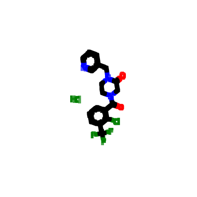 Cl.O=C1CN(C(=O)c2cccc(C(F)(F)F)c2Cl)CCN1Cc1cccnc1